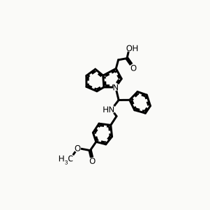 COC(=O)c1ccc(CNC(c2ccccc2)n2cc(CC(=O)O)c3ccccc32)cc1